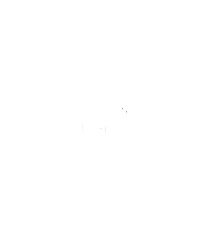 O.[La].[Ni].[SrH2]